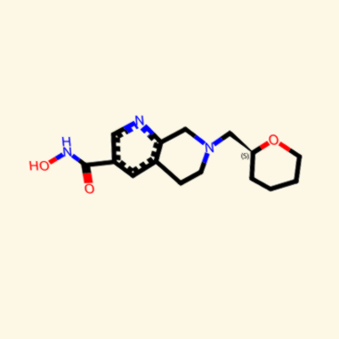 O=C(NO)c1cnc2c(c1)CCN(C[C@@H]1CCCCO1)C2